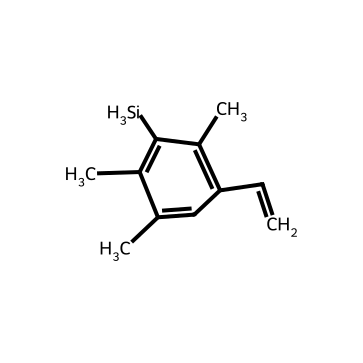 C=Cc1cc(C)c(C)c([SiH3])c1C